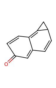 O=C1C=CC2=C3CC3C=CC2=C1